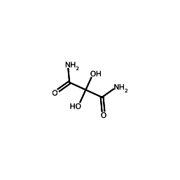 NC(=O)C(O)(O)C(N)=O